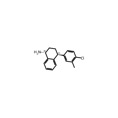 Cc1cc([C@@H]2CC[C@@H](N)c3ccccc32)ccc1Cl